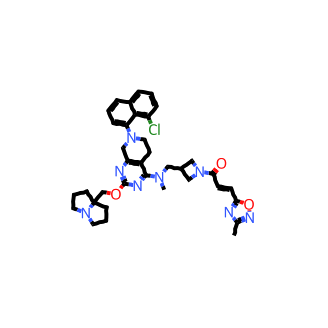 Cc1noc(/C=C/C(=O)N2CC(CN(C)c3nc(OCC45CCCN4CCC5)nc4c3CCN(c3cccc5cccc(Cl)c35)C4)C2)n1